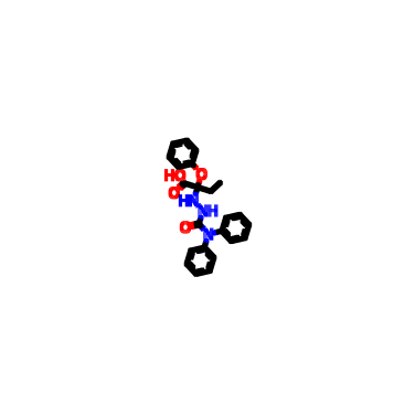 CCC(NNC(=O)N(c1ccccc1)c1ccccc1)(Oc1ccccc1)C(=O)O